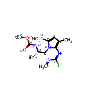 C=N/C(Cl)=N\c1c(C)cc(C(=O)O)n1C[C@@H](NC(=O)OC(C)(C)C)C(C)C